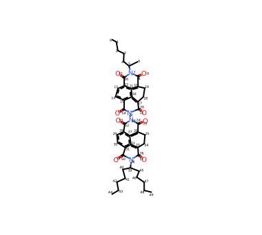 CCCCCC(C)N1C(=O)C2=c3c(ccc4c3=C(CC2)C(=O)N(N2C(=O)C3=c5c(ccc6c5=C(CC3)C(=O)N(C(CCCCC)CCCCC)C6=O)C2=O)C4=O)C1=O